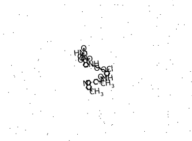 Cc1ccc2nccc([C@H]3CC[C@@H]([C@@H](C)C(=O)Nc4ccc(Cl)c(OCCOCCNc5cccc6c5C(=O)N(C5CCC(=O)NC5=O)C6=O)c4)CC3)c2c1